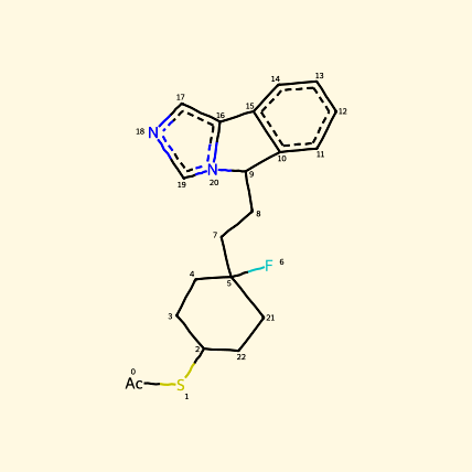 CC(=O)SC1CCC(F)(CCC2c3ccccc3-c3cncn32)CC1